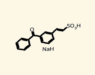 O=C(c1ccccc1)c1cccc(/C=C/S(=O)(=O)O)c1.[NaH]